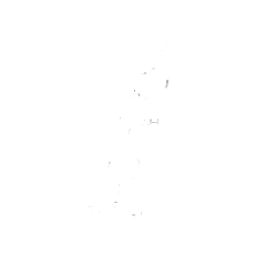 O=C(Nc1ccc(C(F)(F)F)cn1)c1ccc(B(O)O)cc1